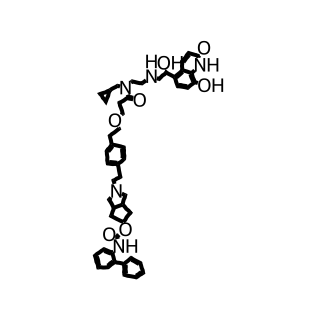 O=C(Nc1ccccc1-c1ccccc1)OC1CC2CN(CCc3ccc(CCOCCC(=O)N(CCNC[C@H](O)c4ccc(O)c5[nH]c(=O)ccc45)CC4CC4)cc3)CC2C1